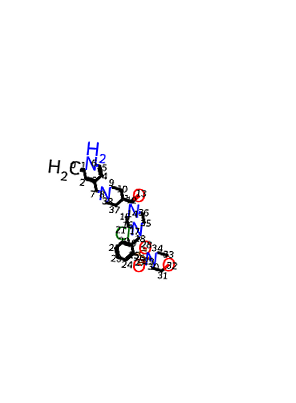 C=C/C=C(\C=C/N)CN1CCC(C(=O)N2CCN(Cc3c(Cl)cccc3S(=O)(=O)N3CCOCC3)CC2)CC1